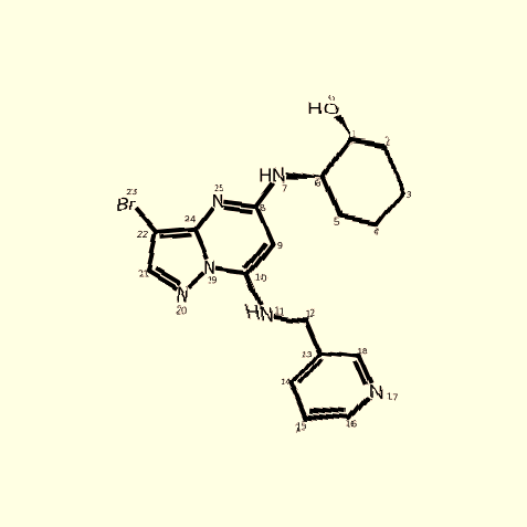 O[C@H]1CCCC[C@H]1Nc1cc(NCc2cccnc2)n2ncc(Br)c2n1